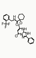 O=C1C=C(COC2(C(=O)NCc3ccccc3C(F)(F)F)CCCCC2)NC2NC(c3ccccc3)=NN12